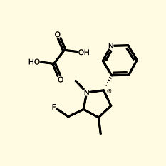 CC1C[C@@H](c2cccnc2)N(C)C1CF.O=C(O)C(=O)O